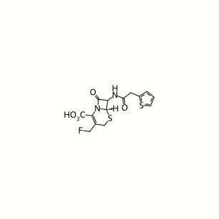 O=C(Cc1cccs1)NC1C(=O)N2C(C(=O)O)=C(CF)CS[C@@H]12